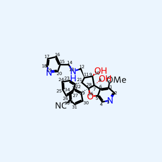 COc1cncc2c1[C@]1(O)[C@H](O)[C@H](CNCc3cccnc3)[C@@H](c3ccccc3)[C@]1(c1ccc(C#N)cc1)O2